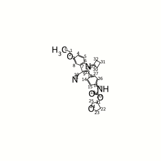 CCOc1ccc2c(c1)c(C#N)c(-c1ccc(NC(=O)O[C@H]3CCOC3)cc1)n2C1CCC1